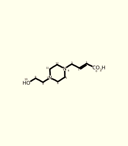 O=C(O)C=CCN1CCN(CCO)CC1